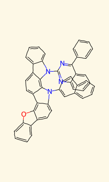 c1ccc(-c2nc(-n3c4ccccc4c4ccc5c6c7oc8ccccc8c7ccc6n(-c6ccc7ccccc7c6)c5c43)nc3ccccc23)cc1